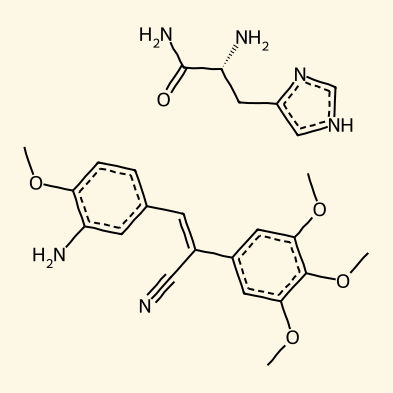 COc1ccc(C=C(C#N)c2cc(OC)c(OC)c(OC)c2)cc1N.NC(=O)[C@H](N)Cc1c[nH]cn1